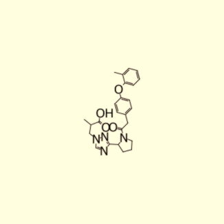 Cc1ccccc1Oc1ccc(CC(=O)N2CCCC2c2ncn(CC(C)C(=O)O)n2)cc1